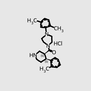 Cc1ccc(C)c(N2CCN(C(=O)[C@@H]3CNCC[C@@H]3c3ccccc3C)CC2)c1.Cl